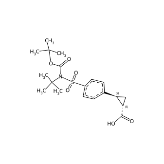 CC(C)(C)OC(=O)N(C(C)(C)C)S(=O)(=O)c1ccc([C@H]2C[C@@H]2C(=O)O)cc1